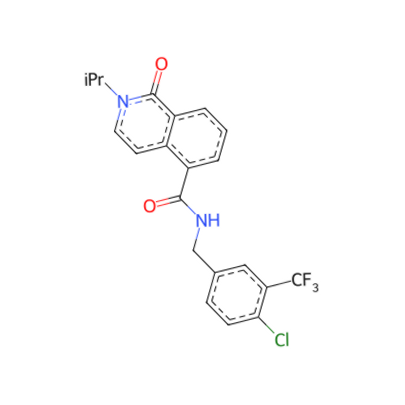 [CH2]C([CH2])n1ccc2c(C(=O)NCc3ccc(Cl)c(C(F)(F)F)c3)cccc2c1=O